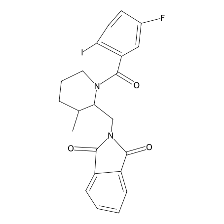 CC1CCCN(C(=O)c2cc(F)ccc2I)C1CN1C(=O)c2ccccc2C1=O